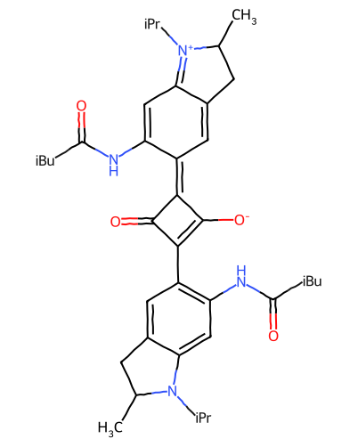 CCC(C)C(=O)Nc1cc2c(cc1C1=C([O-])/C(=c3\cc4c(cc3NC(=O)C(C)CC)=[N+](C(C)C)C(C)C4)C1=O)CC(C)N2C(C)C